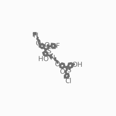 O=C(c1ccc(Cl)cc1)c1sc2cc(O)ccc2c1-c1ccc(OCCCN2CC(c3c(O)ccc4c(-c5ccc(OCCCN6CCC6)cc5)c(C(=O)c5ccc(F)cc5)sc34)C2)cc1